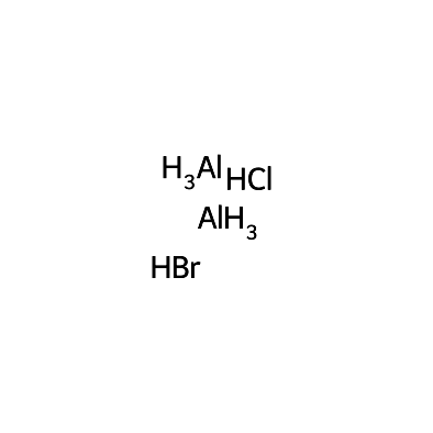 Br.Cl.[AlH3].[AlH3]